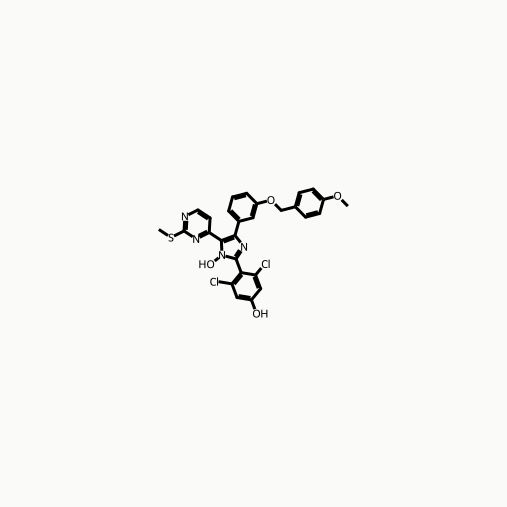 COc1ccc(COc2cccc(-c3nc(-c4c(Cl)cc(O)cc4Cl)n(O)c3-c3ccnc(SC)n3)c2)cc1